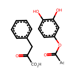 CC(=O)C(=O)Oc1ccc(O)c(O)c1.O=C(O)C(=O)Cc1ccccc1